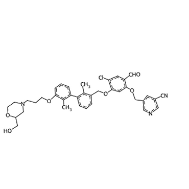 Cc1c(COc2cc(OCc3cncc(C#N)c3)c(C=O)cc2Cl)cccc1-c1cccc(OCCCN2CCOC(CO)C2)c1C